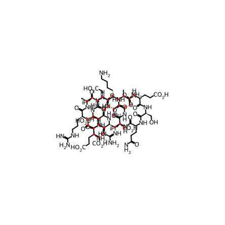 CC[C@H](C)[C@H](NC(=O)[C@H](CC(=O)O)NC(=O)[C@H](C)NC(=O)[C@H](CCCNC(=N)N)NC(=O)[C@H](CCC(=O)O)NC(=O)[C@H](CCC(=O)O)NC(=O)[C@H](C)NC(=O)[C@@H](N)CCC(=O)O)C(=O)N[C@@H](C)C(=O)N[C@@H](CCC(=O)O)C(=O)N[C@@H](CO)C(=O)N[C@@H](CCC(N)=O)C(=O)N[C@H](C(=O)N[C@@H](CC(N)=O)C(=O)N[C@@H](CCCCN)C(=O)N[C@@H](CC(C)C)C(=O)N[C@@H](CCCNC(=N)N)C(=O)O)C(C)C